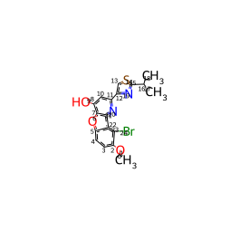 COc1ccc2oc3c(O)cc(-c4csc(C(C)C)n4)nc3c2c1Br